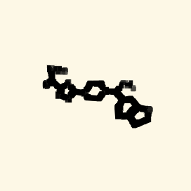 CNC(=O)c1nnc(N2CCN(C(C)c3ccc4c(c3)OCC4)CC2)s1